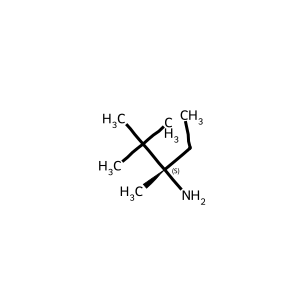 CC[C@](C)(N)C(C)(C)C